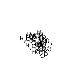 CC(=O)O[C@H]1C(=O)[C@@]2(C)C([C@H](OC(=O)c3ccccc3)[C@]3(O)CC(OC(=O)[C@H](O)C(NC(=O)c4ccccc4)c4ccccc4)C(C)=C1C3(C)C)[C@]1(OC(C)=O)CO[C@@H]1C[C@@H]2O